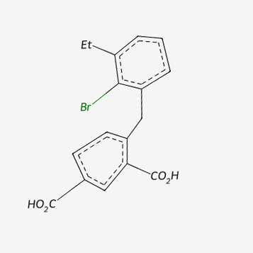 CCc1cccc(Cc2ccc(C(=O)O)cc2C(=O)O)c1Br